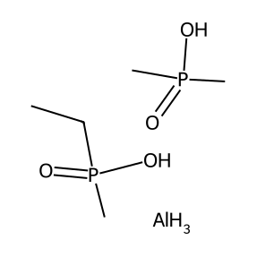 CCP(C)(=O)O.CP(C)(=O)O.[AlH3]